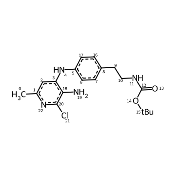 Cc1cc(Nc2ccc(CCNC(=O)OC(C)(C)C)cc2)c(N)c(Cl)n1